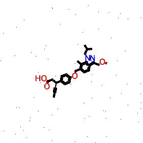 CC#C[C@@H](CC(=O)O)c1ccc(OCc2ccc3c(COC)nn(CC(C)C)c3c2C)cc1